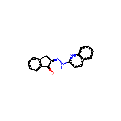 O=C1/C(=N\Nc2ccc3ccccc3n2)Cc2ccccc21